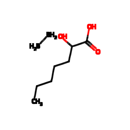 BB.CCCCCC(O)C(=O)O